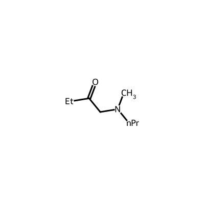 CCCN(C)CC(=O)CC